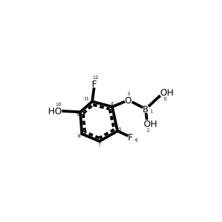 OB(O)Oc1c(F)ccc(O)c1F